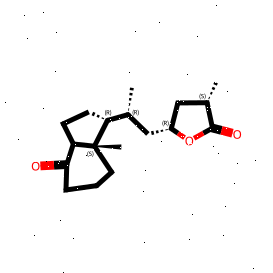 C[C@H](C[C@@H]1C[C@H](C)C(=O)O1)[C@H]1CCC2C(=O)CCC[C@]21C